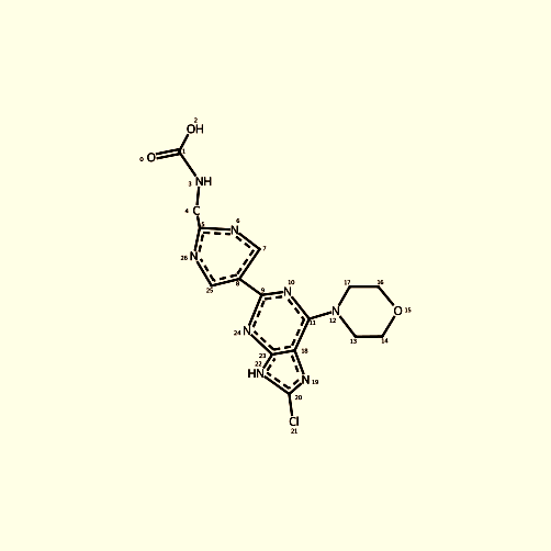 O=C(O)NCc1ncc(-c2nc(N3CCOCC3)c3nc(Cl)[nH]c3n2)cn1